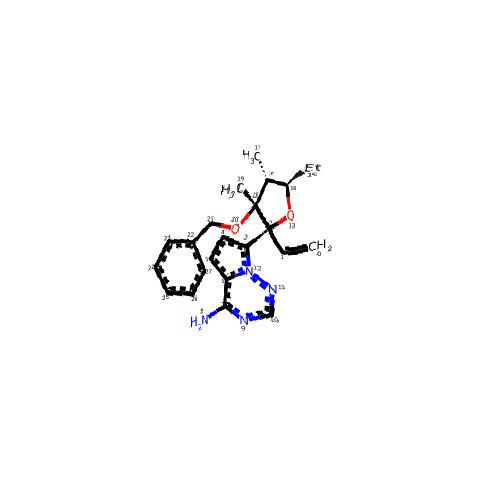 C=C[C@@]1(c2ccc3c(N)ncnn23)O[C@H](CC)[C@@H](C)[C@@]1(C)OCc1ccccc1